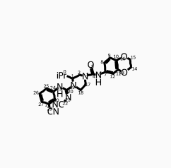 CC(C)C1CN(C(=O)Nc2ccc3c(c2)OCCO3)CCN1/C(=N/C#N)Nc1cccc(C#N)c1